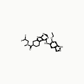 CCOc1cc2[nH]ncc2cc1Nc1ncnc2sc3c(c12)CCC(C(=O)N(C)CC(F)F)C3